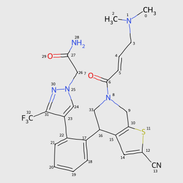 CN(C)C/C=C/C(=O)N1Cc2sc(C#N)cc2C(c2ccccc2-c2cn(CC(N)=O)nc2C(F)(F)F)C1